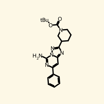 CC(C)(C)OC(=O)N1CCCC(c2nc3cc(-c4ccccc4)nc(N)n3n2)C1